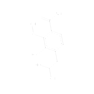 COc1c(C(N)=O)ccc(CC(C)O)c1C